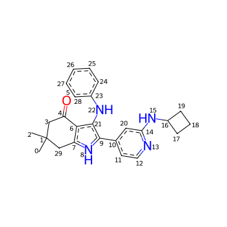 CC1(C)CC(=O)c2c([nH]c(-c3ccnc(NC4CCC4)c3)c2Nc2ccccc2)C1